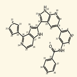 O=C(Nc1cncc(-c2cnc3[nH]nc(-c4nc5c(-c6ccsc6)nccc5[nH]4)c3c2)c1)c1ccccc1